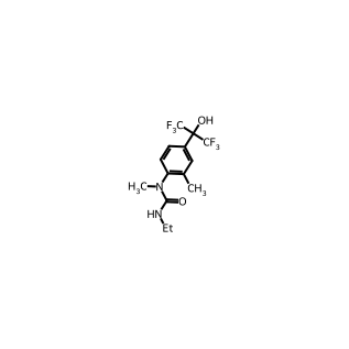 CCNC(=O)N(C)c1ccc(C(O)(C(F)(F)F)C(F)(F)F)cc1C